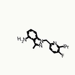 Cc1nn(Cc2ccc(F)c(C(C)C)n2)c2cccc(N)c12